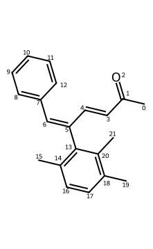 CC(=O)C=CC(=Cc1ccccc1)c1c(C)ccc(C)c1C